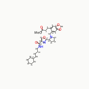 COC(=O)CCc1cc2c(cc1CN1CCCC1c1nc(C(=O)NCCCCC3CCCCC3)co1)OCO2